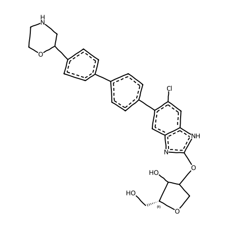 OC[C@H]1OCC(Oc2nc3cc(-c4ccc(-c5ccc(C6CNCCO6)cc5)cc4)c(Cl)cc3[nH]2)C1O